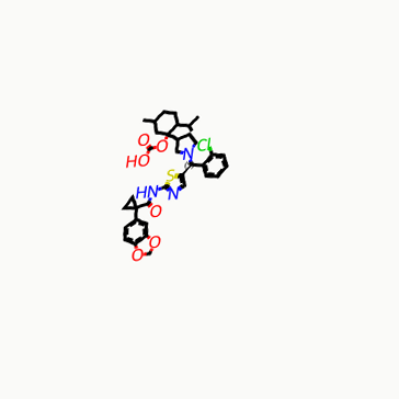 CC1CCC(C(C)C)C(OC(=O)O)(C2CCN([C@H](c3cnc(NC(=O)C4(c5ccc6c(c5)OCO6)CC4)s3)c3ccccc3Cl)C2)C1